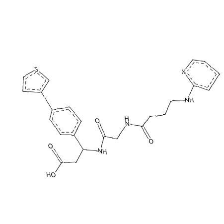 O=C(O)CC(NC(=O)CNC(=O)CCCNc1ccccn1)c1ccc(-c2ccsc2)cc1